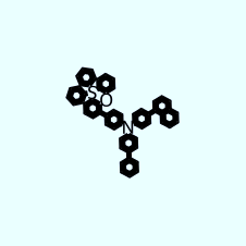 c1ccc(-c2ccc(N(c3ccc(-c4cccc5c4Oc4ccccc4S5(c4ccccc4)c4ccccc4)cc3)c3ccc(-c4cccc5ccccc45)cc3)cc2)cc1